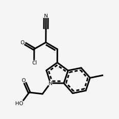 Cc1ccc2c(c1)c(C=C(C#N)C(=O)Cl)cn2CC(=O)O